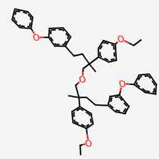 CCOc1ccc(C(C)(CCc2cccc(Oc3ccccc3)c2)COCC(C)(CCc2cccc(Oc3ccccc3)c2)c2ccc(OCC)cc2)cc1